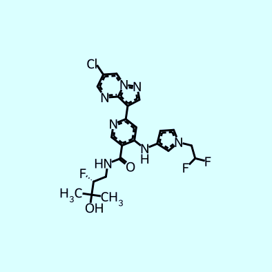 CC(C)(O)[C@H](F)CNC(=O)c1cnc(-c2cnn3cc(Cl)cnc23)cc1Nc1ccn(CC(F)F)c1